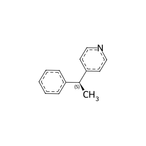 C[C@@H](c1ccccc1)c1ccncc1